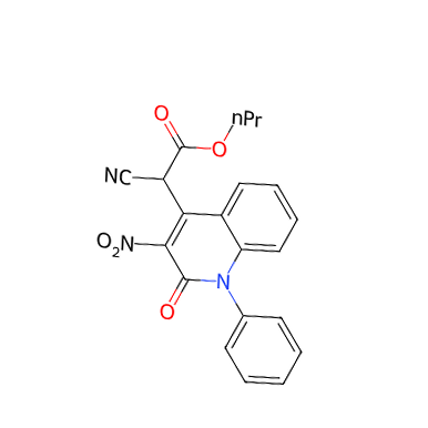 CCCOC(=O)C(C#N)c1c([N+](=O)[O-])c(=O)n(-c2ccccc2)c2ccccc12